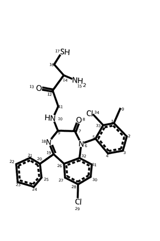 Cc1cccc(N2C(=O)C(NCC(=O)C(N)CS)N=C(c3ccccc3)c3cc(Cl)ccc32)c1Cl